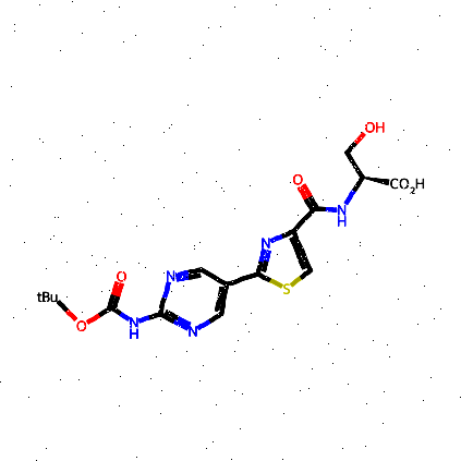 CC(C)(C)OC(=O)Nc1ncc(-c2nc(C(=O)N[C@@H](CO)C(=O)O)cs2)cn1